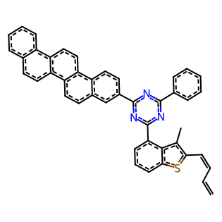 C=C/C=C\c1sc2cccc(-c3nc(-c4ccccc4)nc(-c4ccc5c(ccc6c5ccc5c7ccccc7ccc56)c4)n3)c2c1C